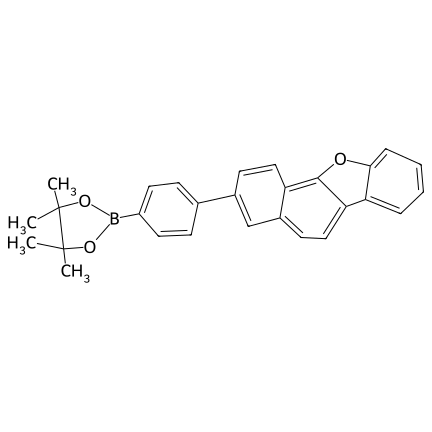 CC1(C)OB(c2ccc(-c3ccc4c(ccc5c6ccccc6oc45)c3)cc2)OC1(C)C